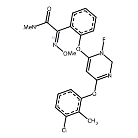 CNC(=O)/C(=N/OC)c1ccccc1OC1=CC(Oc2cccc(Cl)c2C)=NCN1F